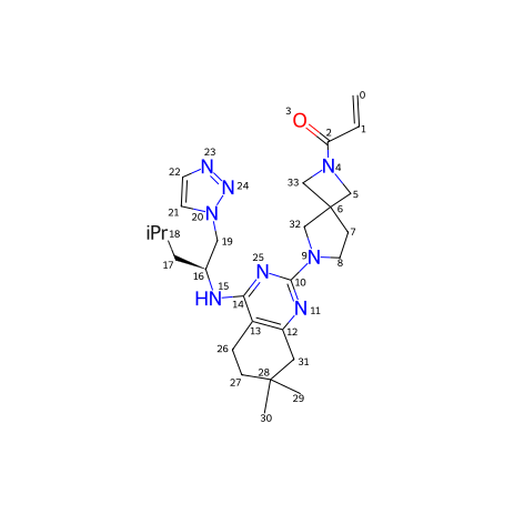 C=CC(=O)N1CC2(CCN(c3nc4c(c(N[C@@H](CC(C)C)Cn5ccnn5)n3)CCC(C)(C)C4)C2)C1